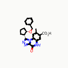 Cc1cc2c(cc1C(=O)O)[nH]c(=O)c1nnc([C@@H]3CCC[C@@H]3OCc3ccccc3)n12